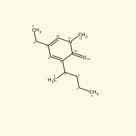 CCCC(C)c1cc(CC)cn(C)c1=O